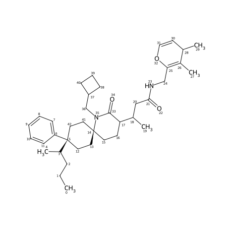 CCCC(C)[C@]1(c2ccccc2)CC[C@@]2(CCC(C(C)CC(=O)NCC3=C(C)C(C)C=CO3)C(=O)N2CC2CCC2)CC1